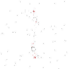 C=C1CC(c2ccc(OCCCCCCCCCCOc3ccc(C4CC(=C)C(=O)O4)cc3)cc2)OC1=O